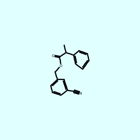 CC(C(=O)OCc1cccc(C#N)c1)c1ccccc1